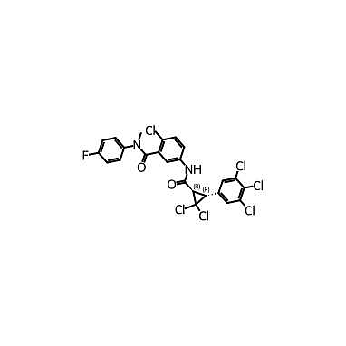 CN(C(=O)c1cc(NC(=O)[C@H]2[C@H](c3cc(Cl)c(Cl)c(Cl)c3)C2(Cl)Cl)ccc1Cl)c1ccc(F)cc1